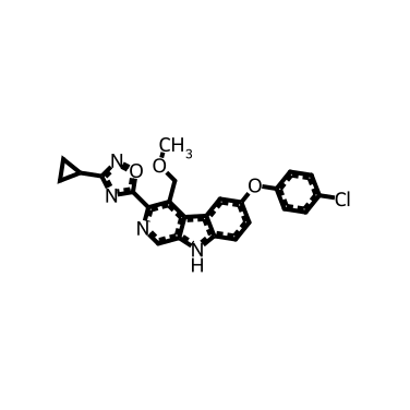 COCc1c(-c2nc(C3CC3)no2)ncc2[nH]c3ccc(Oc4ccc(Cl)cc4)cc3c12